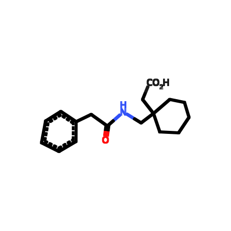 O=C(O)CC1(CNC(=O)Cc2ccccc2)CCCCC1